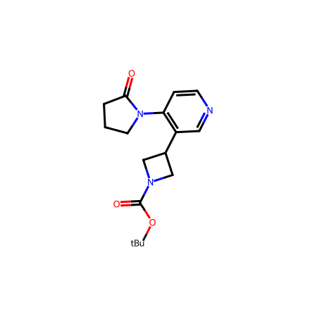 CC(C)(C)OC(=O)N1CC(c2cnccc2N2CCCC2=O)C1